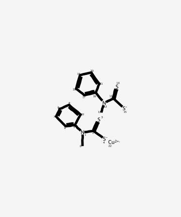 CN(C(=S)[S-])c1ccccc1.CN(C(=S)[S-])c1ccccc1.[Cu+2]